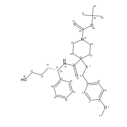 COc1ccc(CSC2(C(=O)N[C@@H](CCCO)c3ccccc3)CCN(C(=O)OC(C)(C)C)CC2)cc1